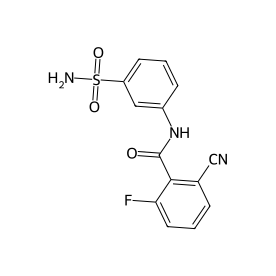 N#Cc1cccc(F)c1C(=O)Nc1cccc(S(N)(=O)=O)c1